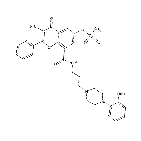 COc1ccccc1N1CCN(CCCNC(=O)c2cc(OS(C)(=O)=O)cc3c(=O)c(C)c(-c4ccccc4)oc23)CC1